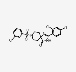 O=C1NC(c2ccc(Cl)cc2Cl)=NC12CCN(S(=O)(=O)c1cccc(Cl)c1)CC2